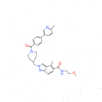 COCCNC(=O)c1ccc2nn(CC3CCN(C(=O)c4ccc(-c5ccc(C)nc5)cc4)CC3)cc2c1C